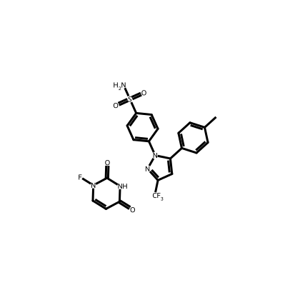 Cc1ccc(-c2cc(C(F)(F)F)nn2-c2ccc(S(N)(=O)=O)cc2)cc1.O=c1ccn(F)c(=O)[nH]1